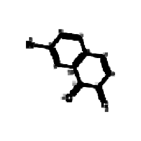 O=C1C=Cc2ccc(Br)cc2C1=O